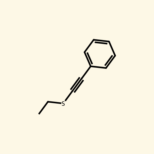 CCSC#Cc1ccccc1